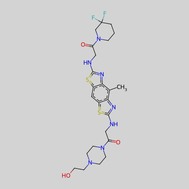 Cc1c2nc(NCC(=O)N3CCN(CCO)CC3)sc2cc2sc(NCC(=O)N3CCCC(F)(F)C3)nc12